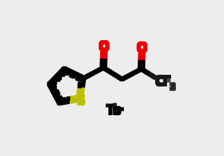 O=C(CC(=O)C(F)(F)F)c1cccs1.[Tb]